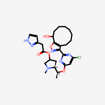 C[C@H](Oc1cc(Cl)nc(-c2noc3c2CCCCCCCC3O)n1)[C@@H]1CC(OC(=O)Cc2cc[nH]n2)CN1C